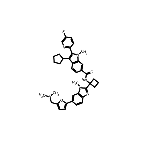 CN(C)Cc1ccc(-c2ccc3nc(C4(NC(=O)c5ccc6c(C7CCCC7)c(-c7ccc(F)cn7)n(C)c6c5)CCC4)n(C)c3c2)o1